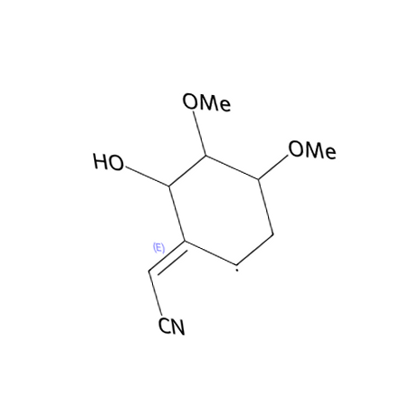 COC1C[CH]/C(=C\C#N)C(O)C1OC